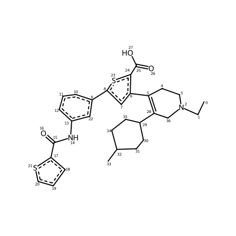 CCN1CCC(c2cc(-c3cccc(NC(=O)c4cccs4)c3)sc2C(=O)O)=C(C2CCC(C)CC2)C1